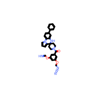 [N-]=[N+]=NCOc1cc(OC=N)cc(C(=O)N2CCC3(CC2)Nc2cc(-c4ccccc4)ccc2-n2cccc23)c1